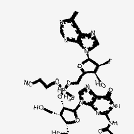 B[PH](OCCC#N)(OCC1O[C@@H](n2cnc3c(C)ncnc32)[C@@H](F)[C@H]1O)O[C@@H]1C(n2cnc3c(=O)[nH]c(NC(=O)C(C)C)nc32)O[C@H](CO)[C@@H]1CO